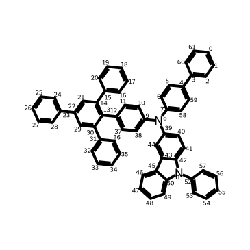 c1ccc(-c2ccc(N(c3ccc(-c4c(-c5ccccc5)cc(-c5ccccc5)cc4-c4ccccc4)cc3)c3ccc4c(c3)c3ccccc3n4-c3ccccc3)cc2)cc1